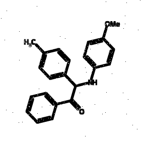 COc1ccc(NC(C(=O)c2ccccc2)c2ccc(C)cc2)cc1